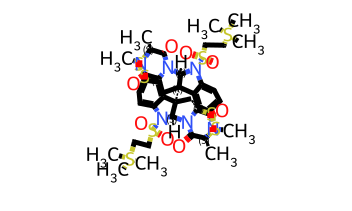 CN1C(=O)[C@@]23CC4([C@]56C[C@@]78SS[C@@](C)(C(=O)N7[C@H]5N(S(=O)(=O)CCS(C)(C)C)c5ccccc56)N(C)C8=O)c5ccccc5N(S(=O)(=O)CCS(C)(C)C)[C@@H]4N2C(=O)[C@]1(C)SS3